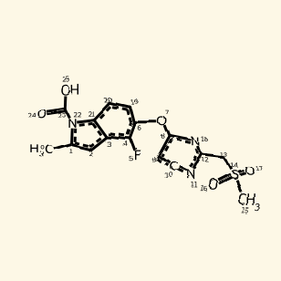 Cc1cc2c(F)c(Oc3ccnc(CS(C)(=O)=O)n3)ccc2n1C(=O)O